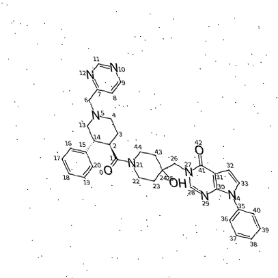 O=C([C@@H]1CCN(Cc2ccncn2)C[C@H]1c1ccccc1)N1CCC(O)(Cn2cnc3c(ccn3-c3ccccc3)c2=O)CC1